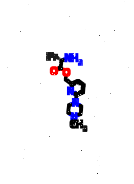 CC(C)[C@H](N)C(=O)OCc1cccc(N2CCN(C)CC2)n1